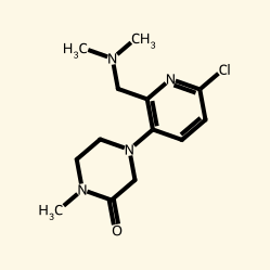 CN(C)Cc1nc(Cl)ccc1N1CCN(C)C(=O)C1